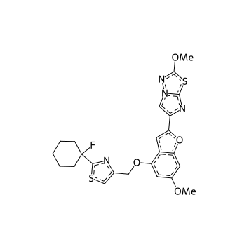 COc1cc(OCc2csc(C3(F)CCCCC3)n2)c2cc(-c3cn4nc(OC)sc4n3)oc2c1